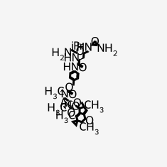 CC(=O)OCC1(C)C=C2C(=O)[C@@H](C)C3(CC3)C(C)=C2C1OC(=O)N(C)CCN(C)C(=O)OCc1ccc(NC(=O)[C@H](CCCN[C@@H]2OC2N)NC(=O)[C@@H](N)C(C)C)cc1